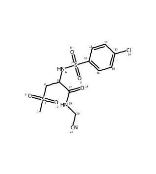 CS(=O)(=O)CC(NS(=O)(=O)c1ccc(Cl)cc1)C(=O)NCC#N